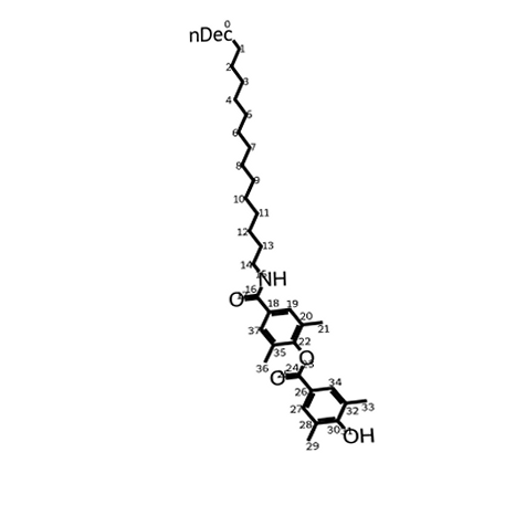 CCCCCCCCCCCCCCCCCCCCCCCCNC(=O)c1cc(C)c(OC(=O)c2cc(C)c(O)c(C)c2)c(C)c1